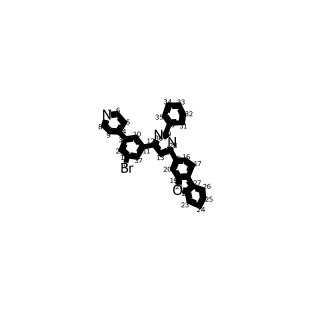 Brc1cc(-c2ccncc2)cc(-c2cc(-c3ccc4c(c3)oc3ccccc34)nc(-c3ccccc3)n2)c1